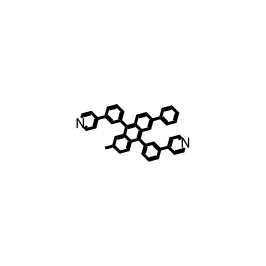 CC1C=c2c(-c3cccc(-c4ccncc4)c3)c3ccc(-c4ccccc4)cc3c(-c3cccc(-c4ccncc4)c3)c2=CC1